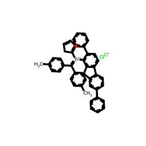 Cc1ccc([C](c2ccc(C)cc2)=[Ti+2]([C]2=CC=CC2)[c]2c(-c3ccccc3)ccc3c2Cc2cc(-c4ccccc4)ccc2-3)cc1.[Cl-].[Cl-]